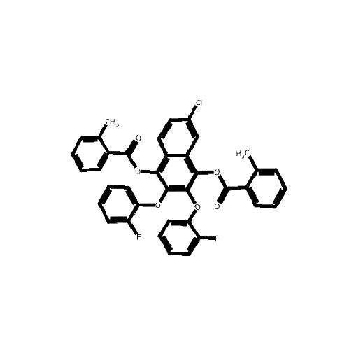 Cc1ccccc1C(=O)Oc1c(Oc2ccccc2F)c(Oc2ccccc2F)c(OC(=O)c2ccccc2C)c2cc(Cl)ccc12